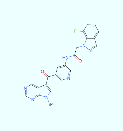 CC(C)n1cc(C(=O)c2cncc(NC(=O)Cn3ncc4cccc(F)c43)c2)c2cncnc21